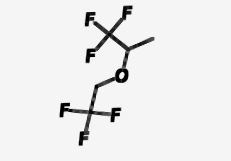 CC(OCC(F)(F)F)C(F)(F)F